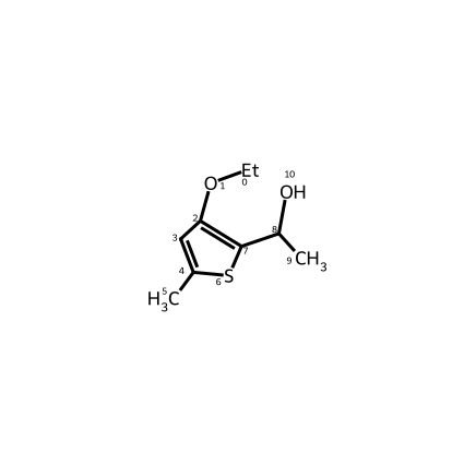 CCOc1cc(C)sc1C(C)O